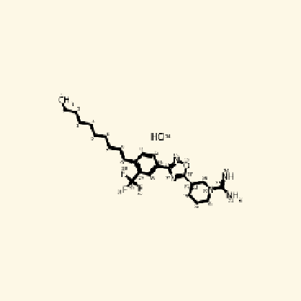 CCCCCCCCCCc1ccc(-c2noc([C@@H]3CCCN(C(=N)N)C3)n2)cc1C(F)(F)F.Cl